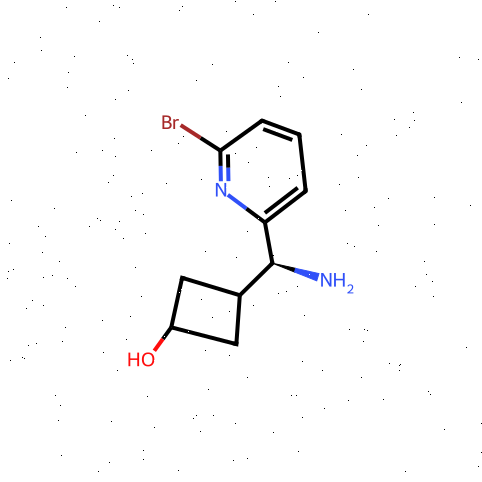 N[C@H](c1cccc(Br)n1)C1CC(O)C1